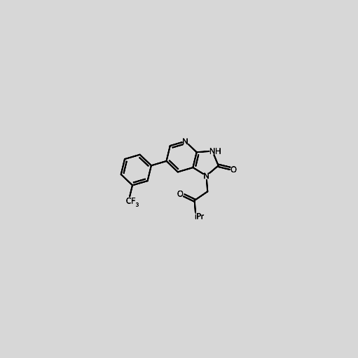 CC(C)C(=O)Cn1c(=O)[nH]c2ncc(-c3cccc(C(F)(F)F)c3)cc21